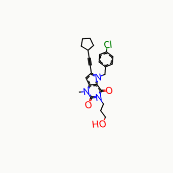 Cn1c(=O)n(CCCO)c(=O)c2c1cc(C#CC1CCCC1)n2Cc1ccc(Cl)cc1